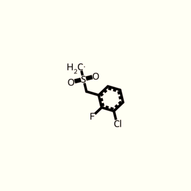 [CH2]S(=O)(=O)Cc1cccc(Cl)c1F